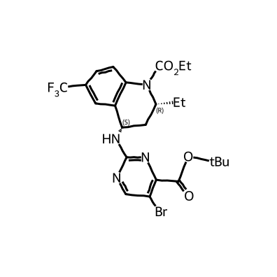 CCOC(=O)N1c2ccc(C(F)(F)F)cc2[C@@H](Nc2ncc(Br)c(C(=O)OC(C)(C)C)n2)C[C@H]1CC